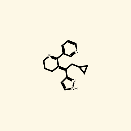 c1cncc(C2=NCCCC2=C(CC2CC2)c2cc[nH]n2)c1